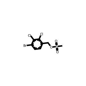 CS(=O)(=O)OCc1ccc(Br)c(Cl)c1Cl